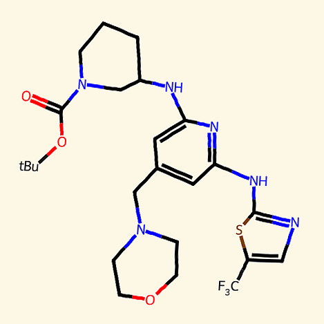 CC(C)(C)OC(=O)N1CCCC(Nc2cc(CN3CCOCC3)cc(Nc3ncc(C(F)(F)F)s3)n2)C1